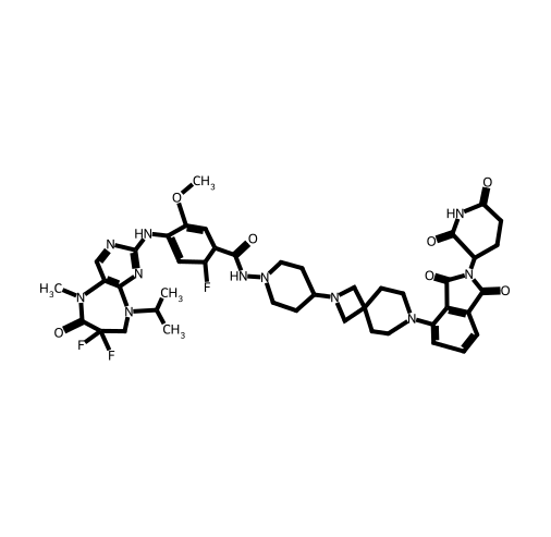 COC1=CC(C(=O)NN2CCC(N3CC4(CCN(c5cccc6c5C(=O)N(C5CCC(=O)NC5=O)C6=O)CC4)C3)CC2)C(F)C=C1Nc1ncc2c(n1)N(C(C)C)CC(F)(F)C(=O)N2C